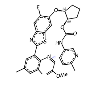 C=C(/C=N\c1c(C)cc(C)cc1-c1nc2cc(F)c(O[C@H]3CCC[C@H]3OC(=O)Nc3ccc(C)nc3)cc2s1)OC